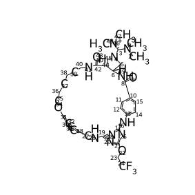 CN(C)C(N1C[C@@H]2NC(=O)c3ccc(cc3)Nc3nc(nc(OCC(F)(F)F)n3)NCc3ccc(cc3)OCCCCCCNC(=O)[C@H]2C1)=[N+](C)C